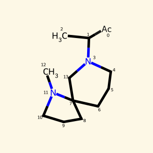 CC(=O)C(C)N1CCCC2(CCCN2C)C1